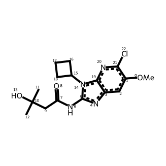 COc1cc2nc(NC(=O)CC(C)(C)O)n(C3CCC3)c2nc1Cl